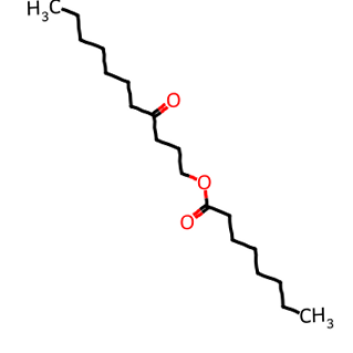 CCCCCCCC(=O)CCCOC(=O)CCCCCCC